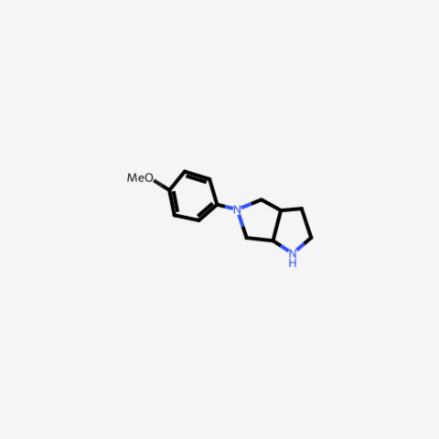 COc1ccc(N2CC3CCNC3C2)cc1